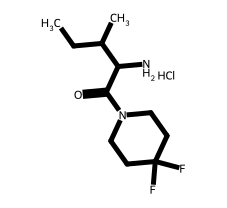 CCC(C)C(N)C(=O)N1CCC(F)(F)CC1.Cl